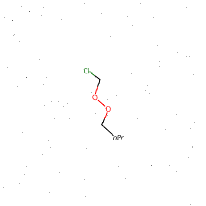 CCCCOOCCl